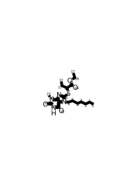 CCCCCCCn1c(SC(CC)C(=O)OCC)nc2c1c(=O)[nH]c(=O)n2C